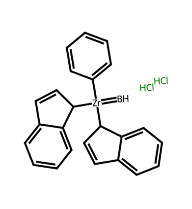 Cl.Cl.[BH]=[Zr]([c]1ccccc1)([CH]1C=Cc2ccccc21)[CH]1C=Cc2ccccc21